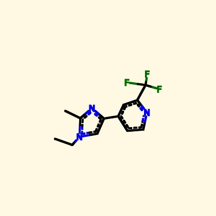 CCn1cc(-c2ccnc(C(F)(F)F)c2)nc1C